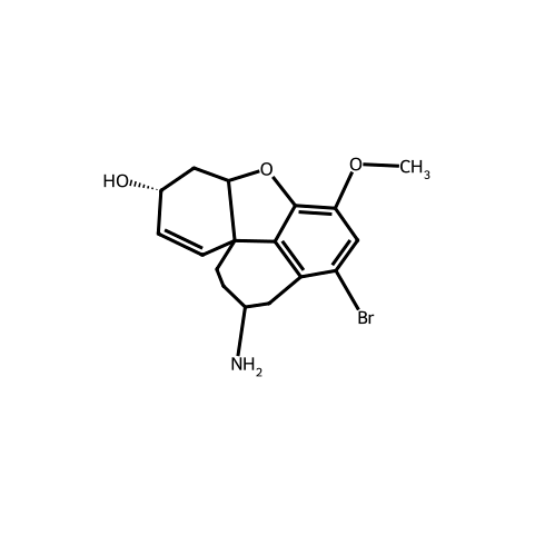 COc1cc(Br)c2c3c1OC1C[C@@H](O)C=CC31CCC(N)C2